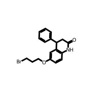 O=C1CC(c2ccccc2)c2cc(OCCCBr)ccc2N1